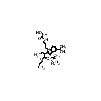 CCCOC(=O)C(CC)c1c(SC(C)(C)C)c2cc(C(C)C)ccc2n1CCCNC(=O)NO